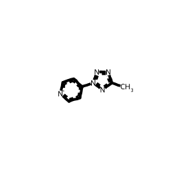 Cc1nnn(-c2ccncc2)n1